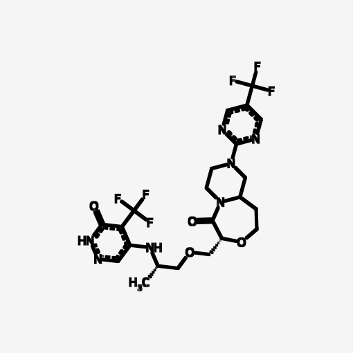 C[C@@H](COC[C@H]1OCCC2CN(c3ncc(C(F)(F)F)cn3)CCN2C1=O)Nc1cn[nH]c(=O)c1C(F)(F)F